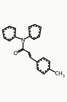 Cc1ccc(C=CC(=O)N(c2ccccc2)c2ccccc2)cc1